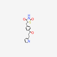 O=C1NC(=O)C(Cc2ccc(C(=O)CCc3ccccn3)cc2)S1